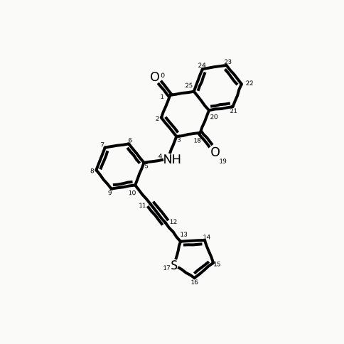 O=C1C=C(Nc2ccccc2C#Cc2cccs2)C(=O)c2ccccc21